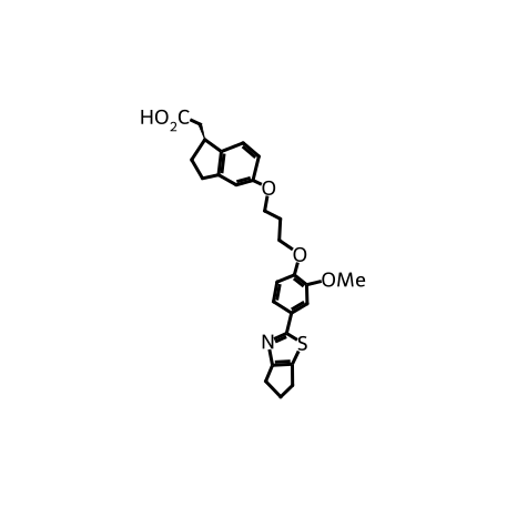 COc1cc(-c2nc3c(s2)CCC3)ccc1OCCCOc1ccc2c(c1)CC[C@H]2CC(=O)O